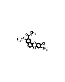 COC(=O)c1cc2c(Oc3ccc(N)c(Cl)c3)c(Cl)cnc2cc1OC